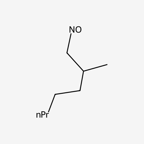 CCCCCC(C)CN=O